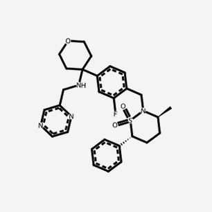 C[C@H]1CC[C@H](c2ccccc2)S(=O)(=O)N1Cc1ccc(C2(NCc3cnccn3)CCOCC2)cc1F